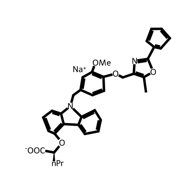 CCC[C@H](Oc1cccc2c1c1ccccc1n2Cc1ccc(OCc2nc(-c3ccccc3)oc2C)c(OC)c1)C(=O)[O-].[Na+]